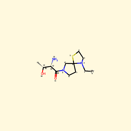 CC(C)CN1CCSC12CCN(C(=O)[C@@H](N)[C@@H](C)O)C2